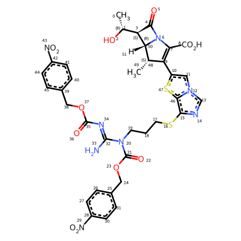 C[C@@H](O)[C@H]1C(=O)N2C(C(=O)O)=C(c3cn4cnc(SCCCN(C(=O)OCc5ccc([N+](=O)[O-])cc5)C(N)=NC(=O)OCc5ccc([N+](=O)[O-])cc5)c4s3)[C@H](C)[C@H]12